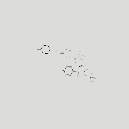 COc1ccc(CSC2CNC(C(OC(=O)C(N)(C(=O)OC(C)(C)C)c3ccccc3)S(C)(=O)=O)C2)cc1